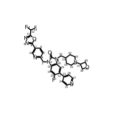 O=c1n(Cc2ccc(-c3nnc(C(F)F)o3)cn2)c2cc(F)c(-c3ccncc3)cc2n1CC1CCN(C2COC2)CC1